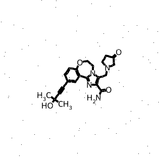 CC(C)(O)C#Cc1ccc2c(c1)-c1nc(C(N)=O)c(CN3CCC(=O)C3)n1CCO2